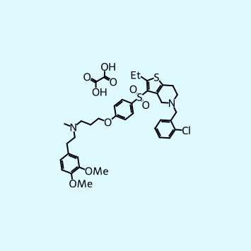 CCc1sc2c(c1S(=O)(=O)c1ccc(OCCCN(C)CCc3ccc(OC)c(OC)c3)cc1)CN(Cc1ccccc1Cl)CC2.O=C(O)C(=O)O